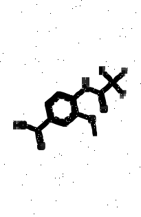 COc1cc(C(=O)O)ccc1NC(=O)C(F)(F)F